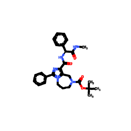 CNC(=O)[C@@H](NC(=O)c1nc(-c2ccccc2)n2c1CN(C(=O)OC(C)(C)C)CCC2)c1ccccc1